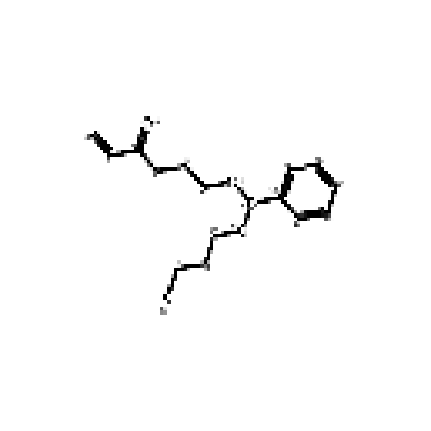 C=CC(=O)CCCOB(OCCCCl)c1ccccc1